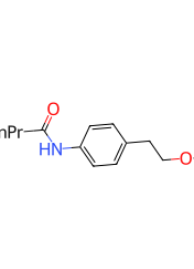 CCCC(=O)Nc1ccc(CC[O])cc1